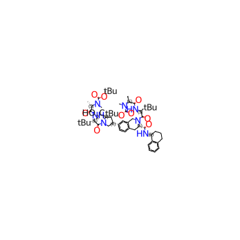 C[C@@H](C(=O)N[C@H](C(=O)N1C[C@@H](c2ccc3c(c2)CN(C(=O)[C@@H](NC(=O)[C@H](C)N(C)C(=O)OC(C)(C)C)C(C)(C)C)[C@H](C(=O)N[C@@H]2CCCc4ccccc42)C3)C[C@H]1C(=O)O)C(C)(C)C)N(C)C(=O)OC(C)(C)C